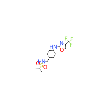 CC(C)S(=O)(=O)NC[C@H]1CC[C@H](Nc2nc(C(F)(F)F)co2)CC1